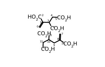 C=C(C(=O)O)C(CC(=O)O)C(=O)O.C=C(CC(CC(=O)O)C(=O)O)C(=O)O